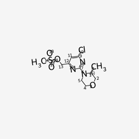 C[C@H]1COCCN1c1nc(Cl)cc(COS(C)(=O)=O)n1